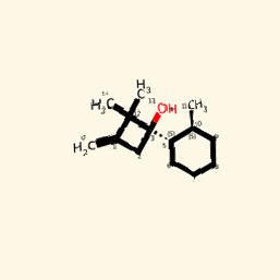 C=C1CC(O)([C@H]2CCCC[C@@H]2C)C1(C)C